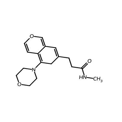 CNC(=O)CCC1=CC2=COC=CC2=C(N2CCOCC2)C1